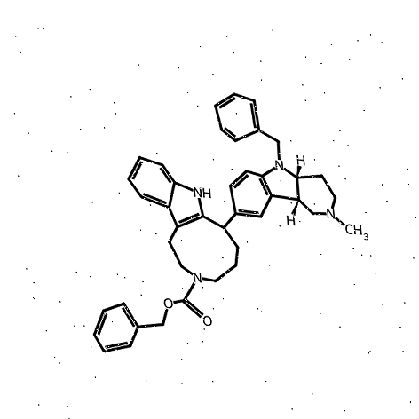 CN1CC[C@@H]2[C@H](C1)c1cc(C3CCCN(C(=O)OCc4ccccc4)CCc4c3[nH]c3ccccc43)ccc1N2Cc1ccccc1